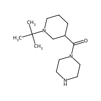 CC(C)(C)N1CCCC(C(=O)N2CCNCC2)C1